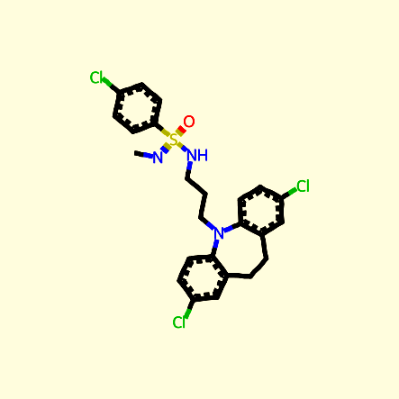 CN=S(=O)(NCCCN1c2ccc(Cl)cc2CCc2cc(Cl)ccc21)c1ccc(Cl)cc1